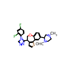 CN1CCN(C=O)C(c2ccc3c(c2)-c2sccc2C(c2nncn2-c2ccc(F)cc2F)CO3)C1